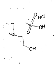 CCNCCO.CS(=O)(=O)O.Cl